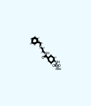 CCC(C)S(=O)(=O)NC1CCC(C(=O)NCCSCc2ccccc2)CC1